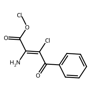 NC(C(=O)OCl)=C(Cl)C(=O)c1ccccc1